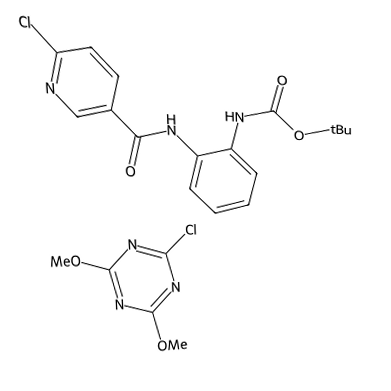 CC(C)(C)OC(=O)Nc1ccccc1NC(=O)c1ccc(Cl)nc1.COc1nc(Cl)nc(OC)n1